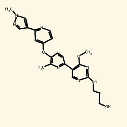 COc1nc(NCCCO)ncc1-c1ccc(Oc2ccnc(-c3cnn(C)c3)c2)c(C)n1